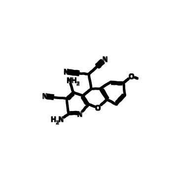 COc1ccc2c(c1)C(C(C#N)C#N)c1c(nc(N)c(C#N)c1N)O2